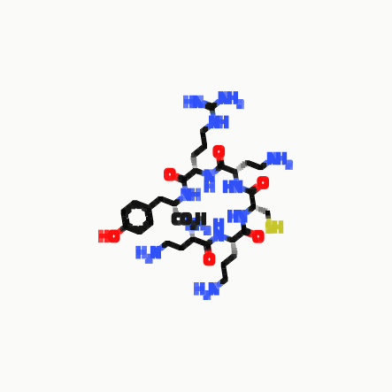 N=C(N)NCCC[C@H](NC(=O)[C@H](CCN)NC(=O)[C@H](CS)NC(=O)[C@H](CCCN)NC(=O)[C@@H](N)CCN)C(=O)N[C@@H](Cc1ccc(O)cc1)C(=O)O